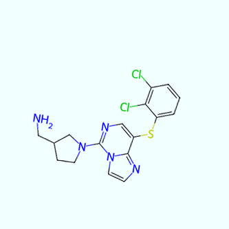 NCC1CCN(c2ncc(Sc3cccc(Cl)c3Cl)c3nccn23)C1